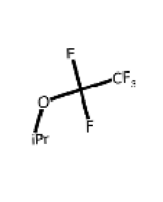 CC(C)OC(F)(F)C(F)(F)F